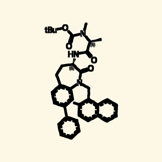 Cc1ccc2ccccc2c1CN1C(=O)[C@@H](NC(=O)[C@H](C)N(C)C(=O)OC(C)(C)C)CCc2ccc(-c3ccccc3)cc21